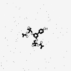 C=C(C)C(=O)OCC1(COc2cc(OCC3(COC(=O)C(=C)C)COC3)cc(-c3ccc(O)cc3)c2)COC1